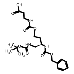 CC(C)(C)OC(=O)NC[C@@H](CCOC(=O)NCCC(=O)O)NC(=O)OCc1ccccc1